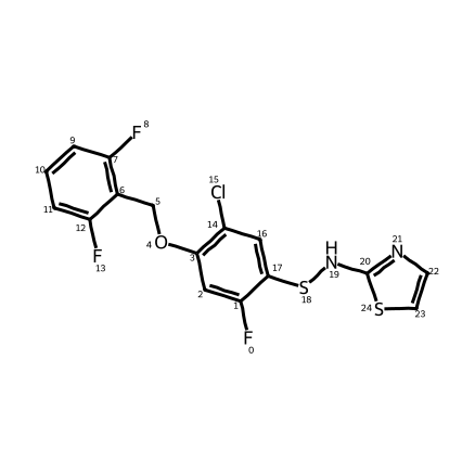 Fc1cc(OCc2c(F)cccc2F)c(Cl)cc1SNc1nccs1